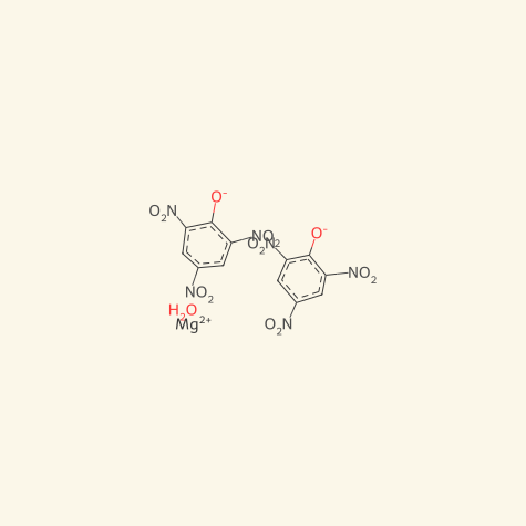 O.O=[N+]([O-])c1cc([N+](=O)[O-])c([O-])c([N+](=O)[O-])c1.O=[N+]([O-])c1cc([N+](=O)[O-])c([O-])c([N+](=O)[O-])c1.[Mg+2]